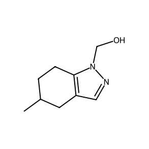 CC1CCc2c(cnn2CO)C1